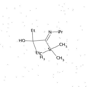 CCC(O)(CC)C(=NC(C)C)[Si](C)(C)C